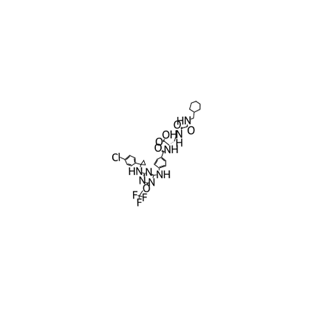 O=C(NCC[C@H](NC(=O)c1ccc(Nc2nc(NC3(c4ccc(Cl)cc4)CC3)nc(OCC(F)(F)F)n2)cc1)C(=O)O)C(=O)NCC1CCCCC1